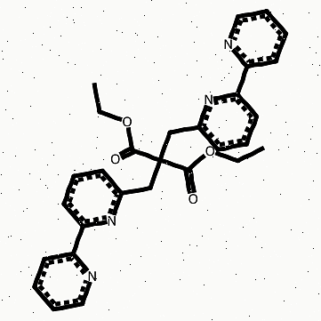 CCOC(=O)C(Cc1cccc(-c2ccccn2)n1)(Cc1cccc(-c2ccccn2)n1)C(=O)OCC